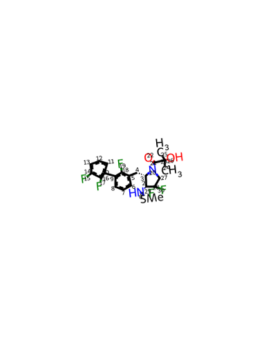 CSN[C@@H]1[C@H](Cc2cccc(-c3cccc(F)c3F)c2F)N(C(=O)C(C)(C)O)CC1(F)F